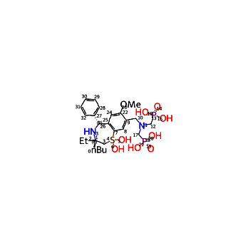 CCCC[C@]1(CC)CS(O)(O)c2cc(CN(CP(=O)(O)O)CP(=O)(O)O)c(OC)cc2[C@@H](c2ccccc2)N1